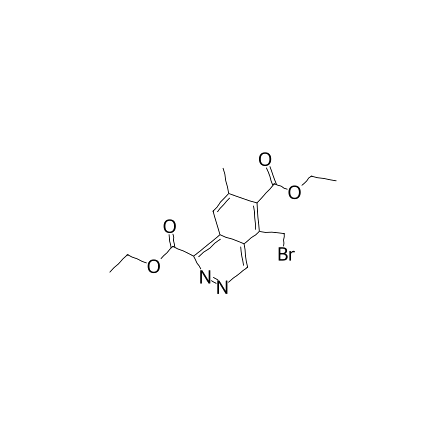 CCOC(=O)c1c(C)cc2c(C(=O)OCC)nncc2c1CBr